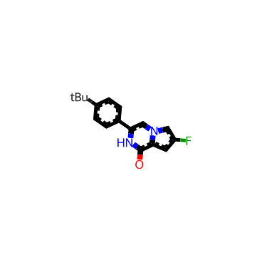 CC(C)(C)c1ccc(-c2cn3cc(F)cc3c(=O)[nH]2)cc1